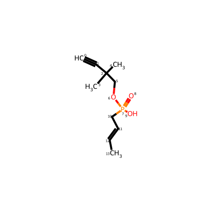 C#CC(C)(C)COP(=O)(O)CC=CC